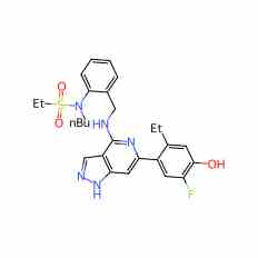 CCCCN(c1ccccc1CNc1nc(-c2cc(F)c(O)cc2CC)cc2[nH]ncc12)S(=O)(=O)CC